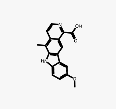 COc1ccc2[nH]c3c(C)c4ccnc(C(=O)O)c4cc3c2c1